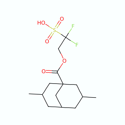 CC1CC2CC(C)CC(C(=O)OCC(F)(F)S(=O)(=O)O)(C1)C2